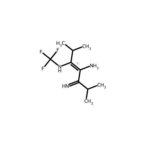 CC(C)C(=N)/C(N)=C(\NC(F)(F)F)C(C)C